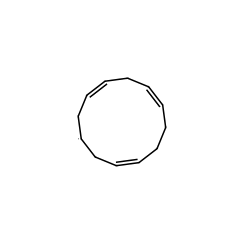 [CH]1CC=CCC=CCCC=CC1